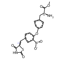 COC(=O)[C@@H](N)Cc1ccc(Oc2ccc(/C=C3\SC(=O)NC3=O)cc2[N+](=O)[O-])cc1